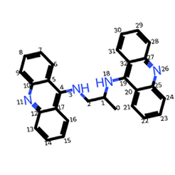 CC(CNc1c2ccccc2nc2ccccc12)Nc1c2ccccc2nc2ccccc12